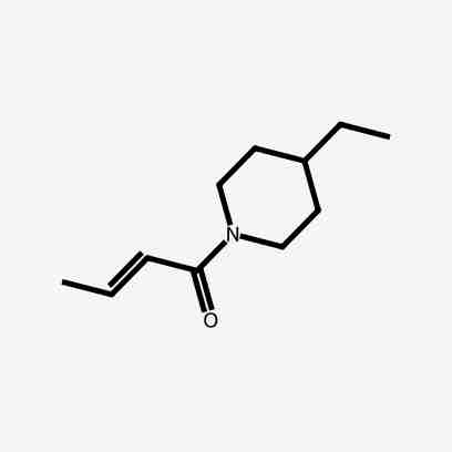 C/C=C/C(=O)N1CCC(CC)CC1